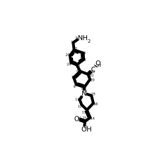 NCc1ccc(C2=CC=C(N3CCC(=CC(=O)O)CC3)CC2=C=O)cc1